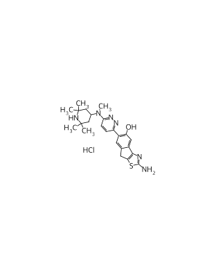 CN(c1ccc(-c2cc3c(cc2O)-c2nc(N)sc2C3)nn1)C1CC(C)(C)NC(C)(C)C1.Cl